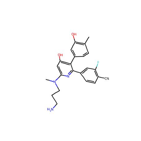 Cc1ccc(-c2c(O)cc(N(C)CCCN)nc2-c2ccc(C#N)c(F)c2)cc1O